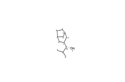 CC(C)[C@@H](O)C1CC2CCC(C2)C1